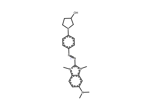 CN(C)c1ccc2c(c1)n(C)c(/N=N/c1ccc(N3CCC(O)C3)cc1)[n+]2C